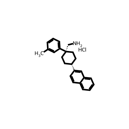 Cc1cccc([C@]2(CN)CC[C@@H](c3ccc4ccccc4c3)CC2)c1.Cl